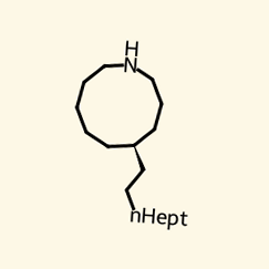 CCCCCCCCC[C@H]1CCCCCNCCC1